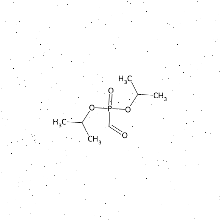 CC(C)OP(=O)(C=O)OC(C)C